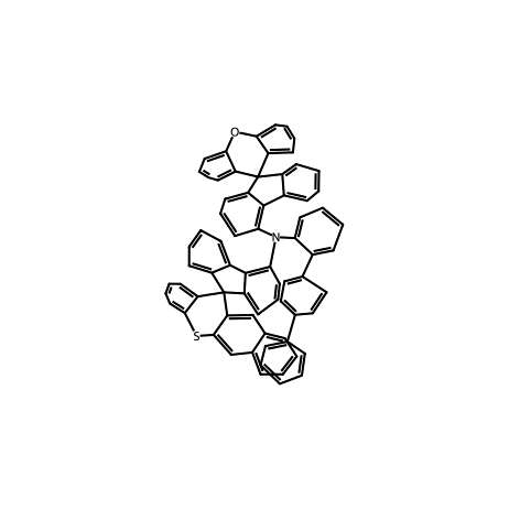 c1ccc(-c2ccc(-c3ccccc3N(c3cccc4c3-c3ccccc3C43c4ccccc4Oc4ccccc43)c3cccc4c3-c3ccccc3C43c4ccccc4Sc4cc5ccccc5cc43)cc2)cc1